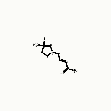 CC1(F)CCN(C/C=C/C(=O)C(C)(C)C)C1